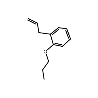 C=CCc1ccccc1OCCC